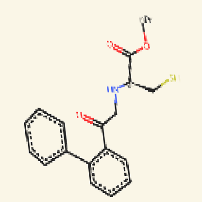 CCCOC(=O)[C@@H](CS)NCC(=O)c1ccccc1-c1ccccc1